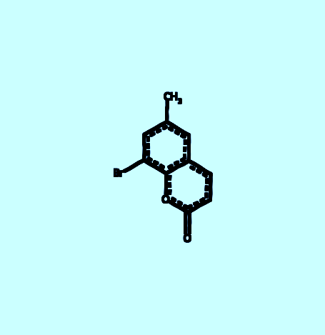 Cc1cc(Br)c2oc(=O)ccc2c1